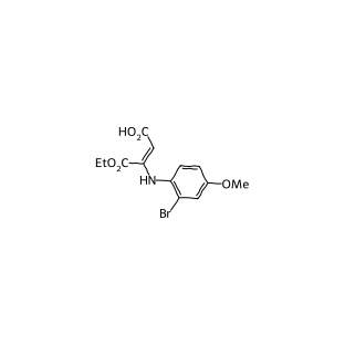 CCOC(=O)C(=CC(=O)O)Nc1ccc(OC)cc1Br